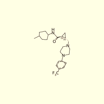 CC1CCC(NC(=O)[C@H]2C[C@@H]2CN2CCN(c3ccc(C(F)(F)F)cc3)CC2)CC1